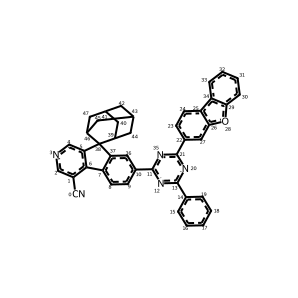 N#Cc1cncc2c1-c1ccc(-c3nc(-c4ccccc4)nc(-c4ccc5c(c4)oc4ccccc45)n3)cc1C21C2CC3CC(C2)CC1C3